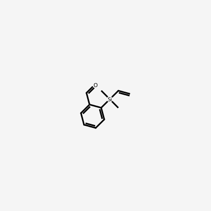 C=C[Si](C)(C)c1ccccc1C=O